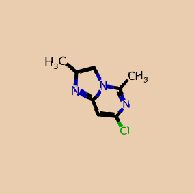 CC1=NC(Cl)=CC2=NC(C)CN12